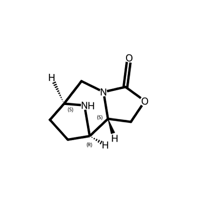 O=C1OC[C@@H]2[C@H]3CC[C@@H](CN12)N3